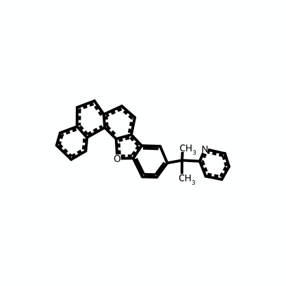 CC(C)(C1=C=C=c2oc3c(ccc4ccc5ccccc5c43)c2=C1)c1ccccn1